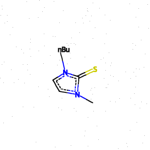 CCCCn1ccn(C)c1=S